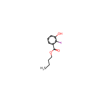 O=C(OCCC[SiH3])c1cccc(O)c1I